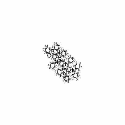 c1ccc(N(c2ccccc2)c2cc3c4c(c2)N(c2ccccc2)c2cc5c(cc2B4c2ccccc2N3c2ccccc2)N(c2ccccc2)c2cc3c4c6c2B5c2ccccc2N6c2ccccc2B4c2ccccc2O3)cc1